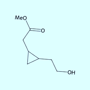 COC(=O)CC1CC1CCO